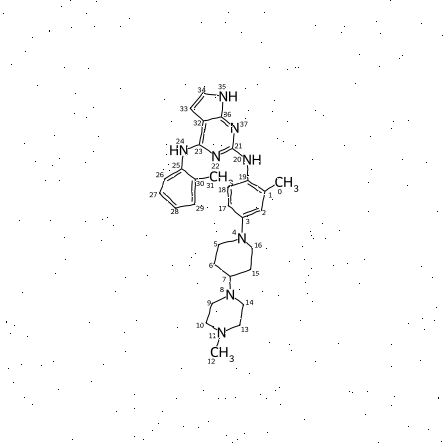 Cc1cc(N2CCC(N3CCN(C)CC3)CC2)ccc1Nc1nc(Nc2ccccc2C)c2cc[nH]c2n1